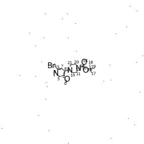 COc1cnc(Br)cc1N1CCN(C(=O)OC(C)(C)C)CC1